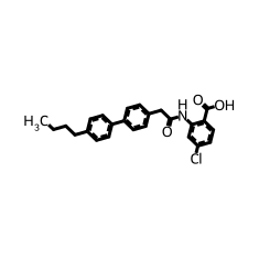 CCCCc1ccc(-c2ccc(CC(=O)Nc3cc(Cl)ccc3C(=O)O)cc2)cc1